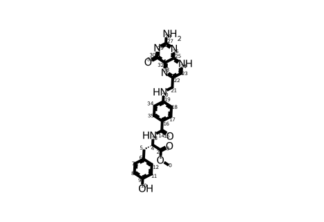 COC(=O)[C@H](Cc1ccc(O)cc1)NC(=O)c1ccc(NCc2c[nH]c3nc(N)nc(=O)c-3n2)cc1